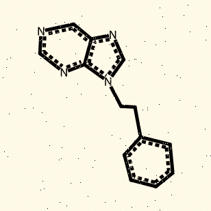 c1ccc(CCn2cnc3cncnc32)cc1